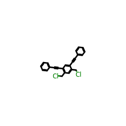 ClCc1cc(CCl)c(C#Cc2ccccc2)cc1C#Cc1ccccc1